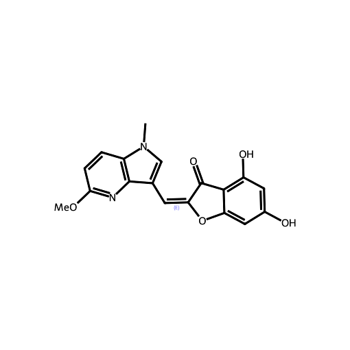 COc1ccc2c(n1)c(/C=C1/Oc3cc(O)cc(O)c3C1=O)cn2C